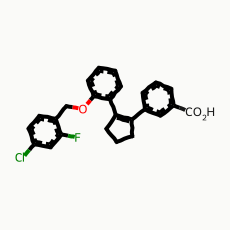 O=C(O)c1cccc(C2=C(c3ccccc3OCc3ccc(Cl)cc3F)CCC2)c1